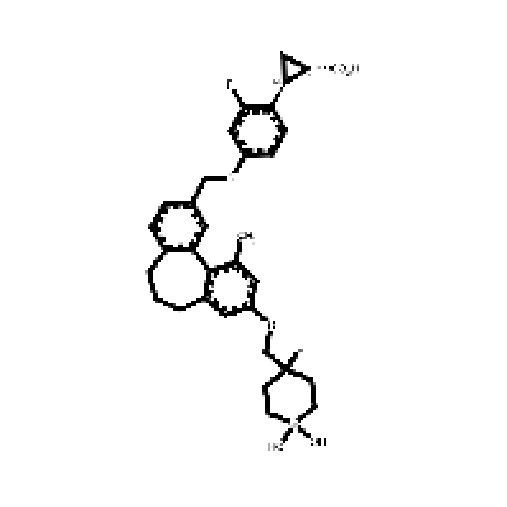 Cc1cc(OCC2(O)CCS(O)(O)CC2)cc2c1-c1cc(CNc3ccc([C@H]4C[C@@H]4C(=O)O)c(F)c3)ccc1CCC2